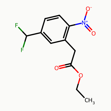 CCOC(=O)Cc1cc(C(F)F)ccc1[N+](=O)[O-]